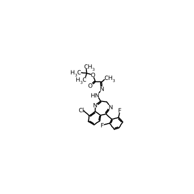 C/C(=N/NC1=Nc2c(Cl)cccc2C(c2c(F)cccc2F)=NC1)C(=O)OC(C)(C)C